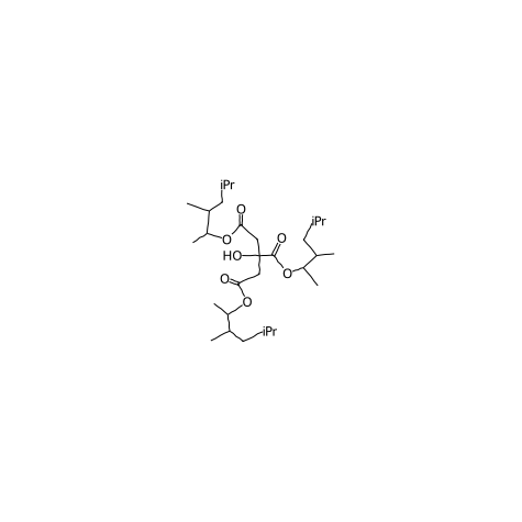 CC(C)CC(C)C(C)OC(=O)CC(O)(CC(=O)OC(C)C(C)CC(C)C)C(=O)OC(C)C(C)CC(C)C